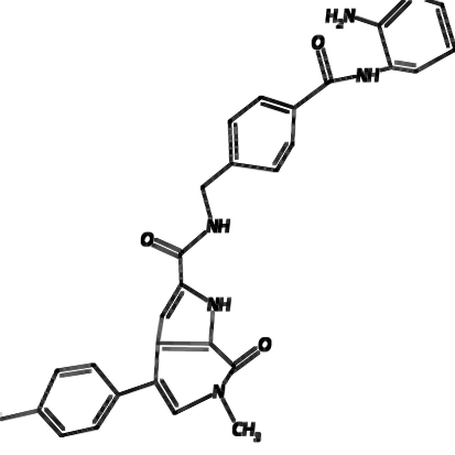 Cn1cc(-c2ccc(Cl)cc2)c2cc(C(=O)NCc3ccc(C(=O)Nc4ccccc4N)cc3)[nH]c2c1=O